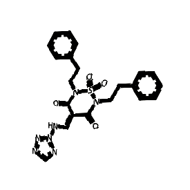 O=C1C(=CNn2ncnn2)C(=O)N(CCc2ccccc2)S(=O)(=O)N1CCc1ccccc1